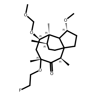 COCO[C@@H]1C[C@@](C)(OCCF)C(=O)[C@H](C)C23CC[C@@H](C)[C@]1(C)C2[C@H](OC)CC3